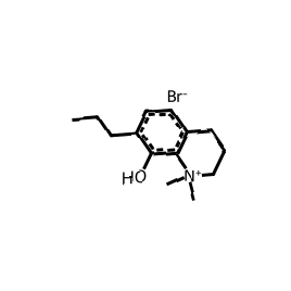 CCCc1ccc2c(c1O)[N+](C)(C)CCC2.[Br-]